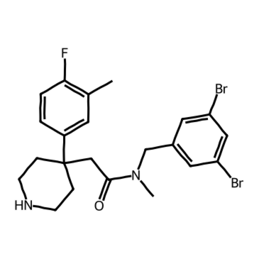 Cc1cc(C2(CC(=O)N(C)Cc3cc(Br)cc(Br)c3)CCNCC2)ccc1F